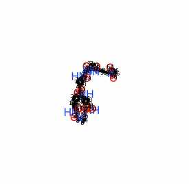 C/C(=C\C(C(C)C)N(C)C(=O)CNC(=O)CC(C)(C)c1ccccc1)C(=O)NS(=O)(=O)Cc1ccc(CNC(=O)OCc2ccc(NC(=O)CNC(=O)C(NC(=O)CCCCCN3C(=O)CCC3=O)C(C)C)cc2)cc1